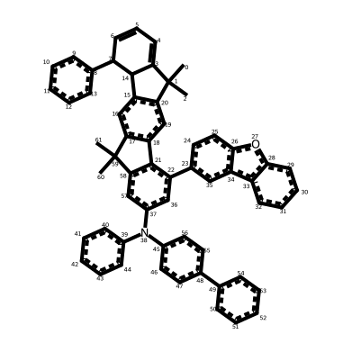 CC1(C)C2=CC=CC(c3ccccc3)C2c2cc3c(cc21)-c1c(-c2ccc4oc5ccccc5c4c2)cc(N(c2ccccc2)c2ccc(-c4ccccc4)cc2)cc1C3(C)C